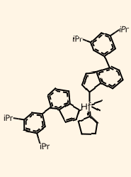 CC(C)c1cc(-c2cccc3c2C=C[CH]3[Hf]([CH3])([CH3])(=[C]2CCCC2)[CH]2C=Cc3c(-c4cc(C(C)C)cc(C(C)C)c4)cccc32)cc(C(C)C)c1